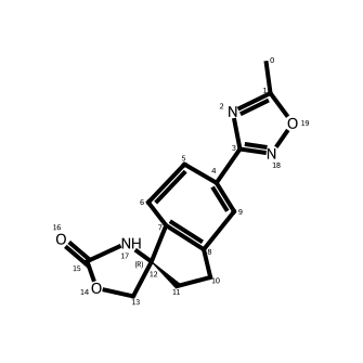 Cc1nc(-c2ccc3c(c2)CC[C@]32COC(=O)N2)no1